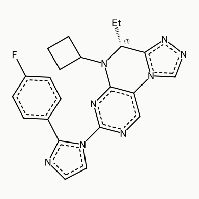 CC[C@@H]1c2nncn2-c2cnc(-n3ccnc3-c3ccc(F)cc3)nc2N1C1CCC1